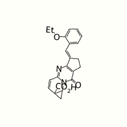 CCOc1ccccc1/C=C1\CCc2c1nc1n(c2=O)C2CC2(C(=O)O)C=C1